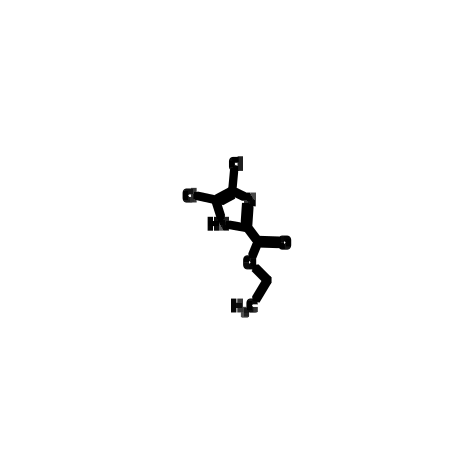 CCOC(=O)c1nc(Cl)c(Cl)[nH]1